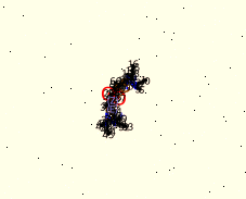 CCCCC(CC)CN(CC(CC)CCCC)c1ccc(-c2sc(C3=C([O-])/C(=c4\cc(C)/c(=C5/C=CC(=[N+](CC(CC)CCCC)CC(CC)CCCC)S5)s4)C3=O)cc2C)s1